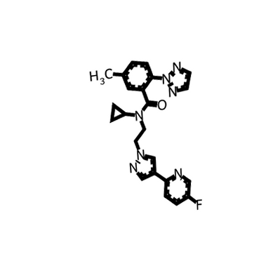 Cc1ccc(-n2nccn2)c(C(=O)N(CCn2cc(-c3ccc(F)cn3)cn2)C2CC2)c1